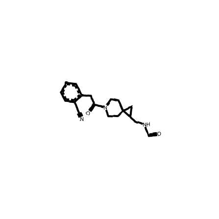 N#Cc1ccccc1CC(=O)N1CCC2(CC1)CC2CNC=O